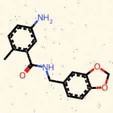 Cc1ccc(N)cc1C(=O)NCc1ccc2c(c1)OCO2